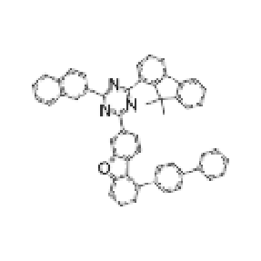 CC1(C)c2ccccc2-c2cccc(-c3nc(-c4ccc5ccccc5c4)nc(-c4ccc5c(c4)oc4cccc(-c6ccc(-c7ccccc7)cc6)c45)n3)c21